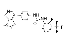 Cn1ncc2c(-c3ccc(NC(=O)Nc4cccc(C(F)(F)F)c4F)cc3)cncc21